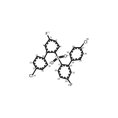 O=S(=O)(c1ccc(F)cc1-c1ccc(Cl)cc1)c1ccc(F)cc1-c1ccc(Cl)cc1